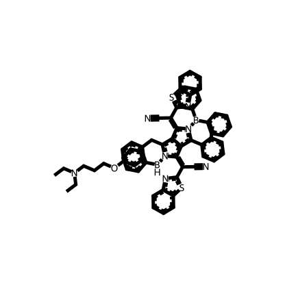 CCN(CC)CCCOc1ccc(Cc2c3/c(=C(\C#N)c4nc5ccccc5s4)n(B(c4ccccc4)c4ccccc4)c(-c4ccccc4C)c3/c(=C(\C#N)c3nc4ccccc4s3)n2Bc2ccccc2)cc1